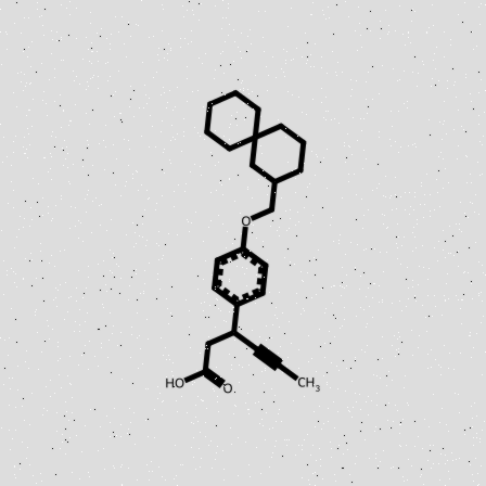 CC#CC(CC(=O)O)c1ccc(OCC2CCCC3(CCCCC3)C2)cc1